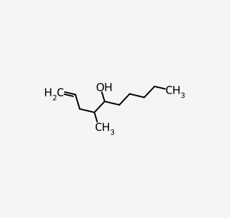 C=CCC(C)C(O)CCCCC